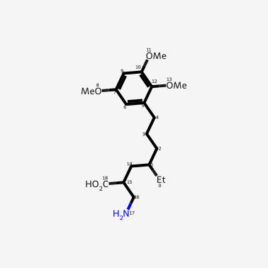 CCC(CCCc1cc(OC)cc(OC)c1OC)CC(CN)C(=O)O